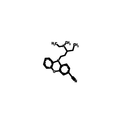 CCC(CCN1c2ccccc2Oc2cc(C#N)ccc21)N(C)CC